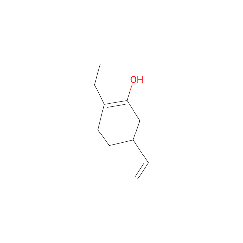 C=CC1CCC(CC)=C(O)C1